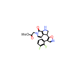 COC(=O)Cn1ccc2c(c1=O)NCC2c1oncc1-c1cccc(F)c1F